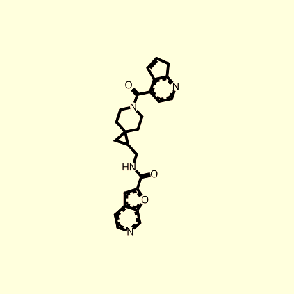 O=C(NCC1CC12CCN(C(=O)c1ccnc3c1C=CC3)CC2)c1cc2ccncc2o1